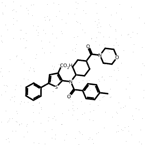 Cc1ccc(C(=O)N(c2sc(-c3ccccc3)cc2C(=O)O)C2CCC(C(=O)N3CCOCC3)CC2)cc1